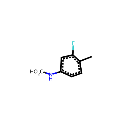 Cc1ccc(NC(=O)O)cc1F